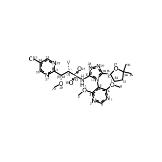 COc1ncnc(OC)c1-n1c(NS(=O)(=O)[C@@H](C)[C@H](OC)c2ncc(Cl)cn2)nnc1[C@@H]1CCC(C)(C)O1